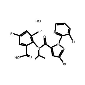 CC(C)N(C(=O)c1cc(Br)nn1-c1ncccc1Cl)c1c(Br)cc(Br)cc1C(=O)O.Cl